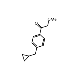 COCC(=O)c1ccc(CC2CC2)cc1